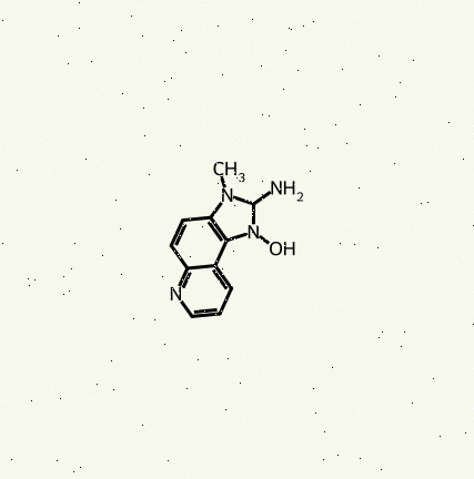 CN1c2ccc3ncccc3c2N(O)C1N